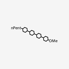 CCCCCC1CCC(C2CCC(C3CCC(C4CCC(OC)CC4)CC3)CC2)CC1